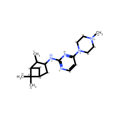 CC1C(Nc2nccc(N3CCN(C)CC3)n2)CC2CC1C2(C)C